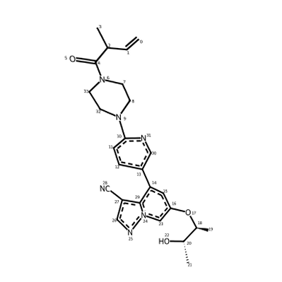 C=CC(C)C(=O)N1CCN(c2ccc(-c3cc(O[C@@H](C)[C@H](C)O)cn4ncc(C#N)c34)cn2)CC1